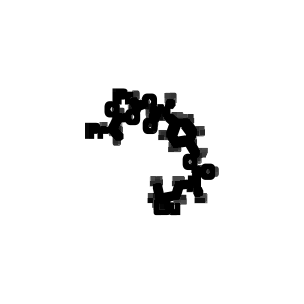 CC(C)C(OC(=O)[C@@H](C)C(C)C)OC(=O)N(C)c1ccc(COC(=O)N(C)CCC(C)C(C)(C)C)cc1